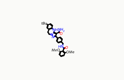 COc1cccc(OC)c1C(=O)NCc1ccc(-c2nn3c(c2C(N)=O)Nc2ccc(C(C)(C)C)cc2CC3)cc1